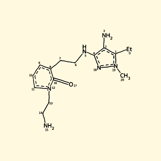 CCc1c(N)c(NCCc2cccn(CCN)c2=O)nn1C